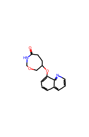 O=C1CCC(Oc2cccc3cccnc23)COCN1